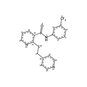 O=C(Nc1cccc(C(F)(F)F)c1)c1cccnc1SCc1ccncc1